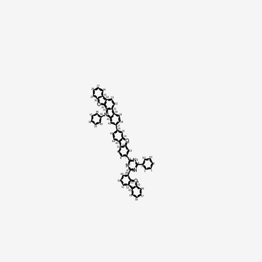 c1ccc(-c2nc(-c3ccc4c(c3)oc3cc(-c5ccc6c7ccc8c9ccccc9oc8c7n(-c7ccccc7)c6c5)ccc34)nc(-c3cccc4c3oc3ccccc34)n2)cc1